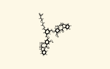 COc1cc2c(cc1OCc1cc(COc3cc4c(cc3OC)C(=O)N3c5ccccc5C[C@H]3CN4)cc(CSCCOCCC(C)C)c1)NC[C@@H]1Cc3ccccc3N1C2=O